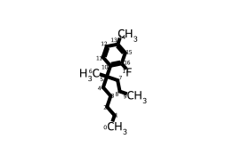 CCCCCC(C)(CCC)c1ccc(C)cc1F